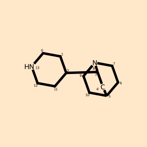 C1CC(C2CC3CCN2CC3)CCN1